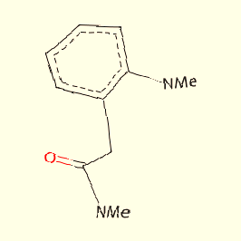 CNC(=O)Cc1ccccc1NC